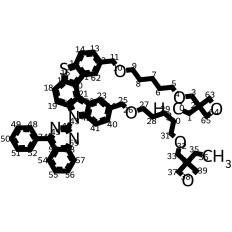 CCC1(COCCCCCOCc2ccc3sc4ccc5c(c6cc(COCCCCCOCC7(CC)COC7)ccc6n5-c5nc(-c6ccccc6)c6ccccc6n5)c4c3c2)COC1